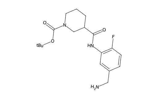 CC(C)(C)OC(=O)N1CCCC(C(=O)Nc2cc(CN)ccc2F)C1